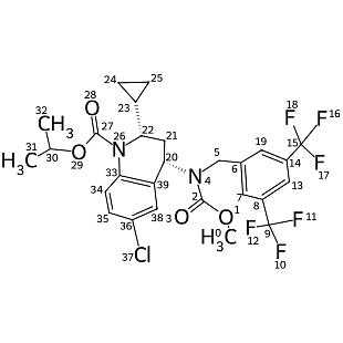 COC(=O)N(Cc1cc(C(F)(F)F)cc(C(F)(F)F)c1)[C@H]1C[C@@H](C2CC2)N(C(=O)OC(C)C)c2ccc(Cl)cc21